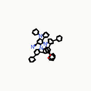 N#Cc1cc2c(c(-n3c4ccc(-c5ccccc5)cc4c4cc(-c5ccccc5)ccc43)c1-n1c3ccc(-c4ccccc4)cc3c3cc(-c4ccccc4)ccc31)c1ccccc1n2-c1ccccc1